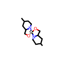 CC1CCN2C(CO[Si]23OCC2CC(C)CCN23)C1